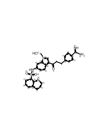 Cl.Cn1cc(C(=O)CCc2ccc(C(=N)N)cc2)c2ccc(NS(=O)(=O)c3cccc4cccnc34)cc21